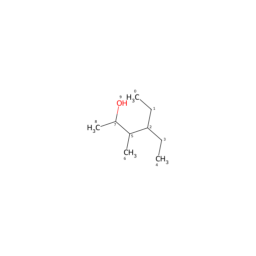 CCC(CC)C(C)C(C)O